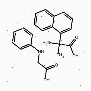 CC(N)(C(=O)O)c1cccc2ccccc12.O=C(O)CNc1ccccc1